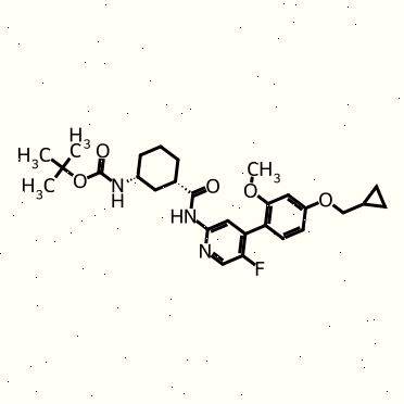 COc1cc(OCC2CC2)ccc1-c1cc(NC(=O)[C@H]2CCC[C@@H](NC(=O)OC(C)(C)C)C2)ncc1F